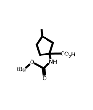 CC1CCC(NC(=O)OC(C)(C)C)(C(=O)O)C1